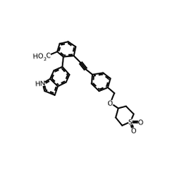 O=C(O)c1cccc(C#Cc2ccc(COC3CCS(=O)(=O)CC3)cc2)c1-c1ccc2cc[nH]c2c1